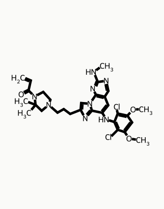 C=CC(=O)N1CCN(CCCc2cn3c(n2)c(Nc2c(Cl)c(OC)cc(OC)c2Cl)cc2cnc(NC)nc23)CC1(C)C